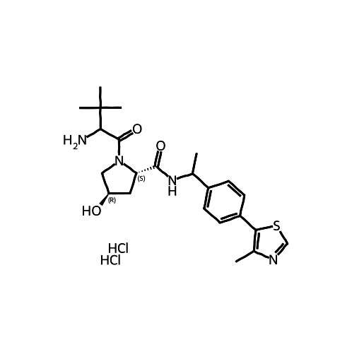 Cc1ncsc1-c1ccc(C(C)NC(=O)[C@@H]2C[C@@H](O)CN2C(=O)C(N)C(C)(C)C)cc1.Cl.Cl